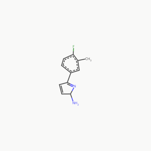 Cc1cc(C2=NC(N)C=C2)ccc1F